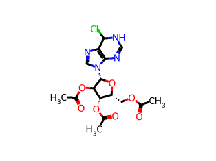 CC(=O)OC[C@H]1O[C@@H](n2cnc3c2N=CNC3Cl)C(OC(C)=O)[C@H]1OC(C)=O